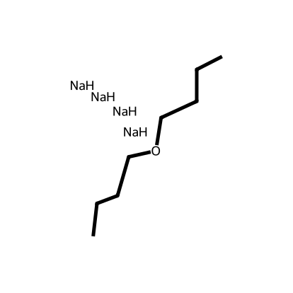 CCCCOCCCC.[NaH].[NaH].[NaH].[NaH]